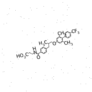 Cc1cc(OCC(C)Cc2ccc(C(=O)NCCC(=O)O)cc2)cc(C)c1-c1ccc(C(F)(F)F)cc1